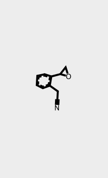 N#CCc1ccccc1C1CO1